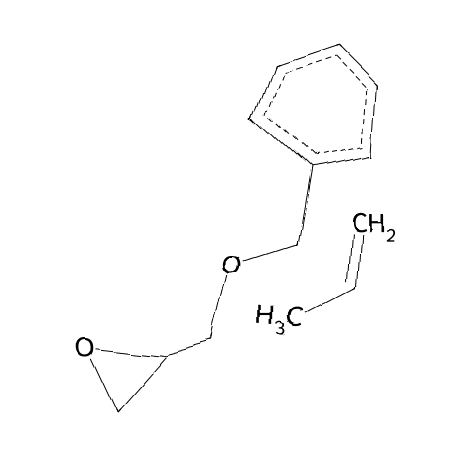 C=CC.c1ccc(COCC2CO2)cc1